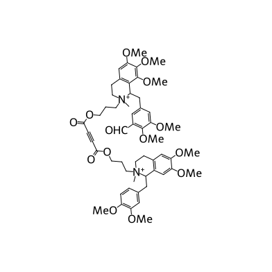 COc1ccc(CC2c3cc(OC)c(OC)cc3CC[N+]2(C)CCCOC(=O)C#CC(=O)OCCC[N+]2(C)CCc3cc(OC)c(OC)c(OC)c3C2Cc2cc(C=O)c(OC)c(OC)c2)cc1OC